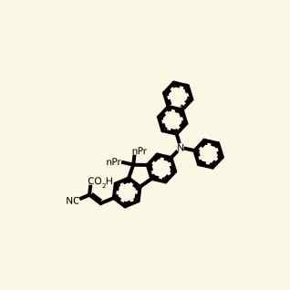 CCCC1(CCC)c2cc(C=C(C#N)C(=O)O)ccc2-c2ccc(N(c3ccccc3)c3ccc4ccccc4c3)cc21